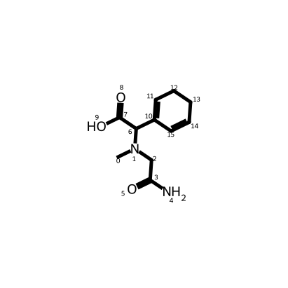 CN(CC(N)=O)C(C(=O)O)C1=CCCC=C1